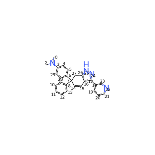 CN(C)c1ccc(C2(c3ccccc3)C=Cc3c(-c4cccnc4)n[nH]c3C2)cc1